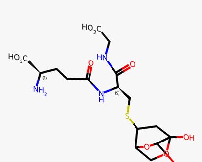 N[C@H](CCC(=O)N[C@H](CSC1CC2(O)OCC1OC2O)C(=O)NCC(=O)O)C(=O)O